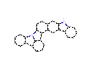 c1ccc2c(c1)[nH]c1cc3ccc4c(c3cc12)c1cccc2c3ccccc3n4c21